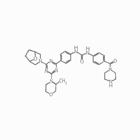 CC1COCCN1c1nc(-c2ccc(NC(=O)Nc3ccc(C(=O)N4CCNCC4)cc3)cc2)nc(N2CC3CCC(C2)O3)n1